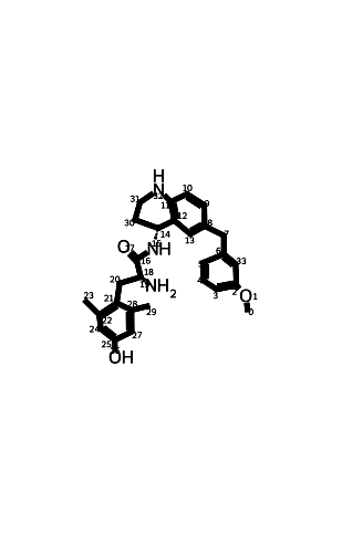 COc1cccc(Cc2ccc3c(c2)[C@H](NC(=O)[C@@H](N)Cc2c(C)cc(O)cc2C)CCN3)c1